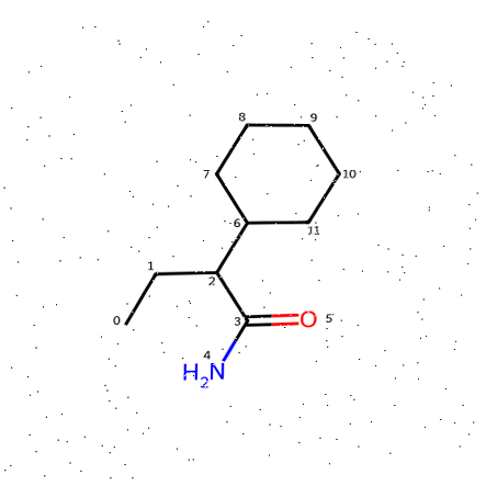 CCC(C(N)=O)C1CCCCC1